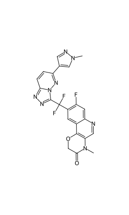 CN1C(=O)COc2c1cnc1cc(F)c(C(F)(F)c3nnc4ccc(-c5cnn(C)c5)nn34)cc21